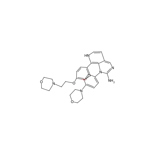 NC1=NC=C2C=CNC(c3ccc(OCCN4CCOCC4)cc3)=C2N1c1ccc(N2CCOCC2)cc1